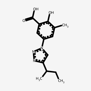 CCC(C)c1cn(-c2cc(C)c(O)c(C(=O)O)c2)nn1